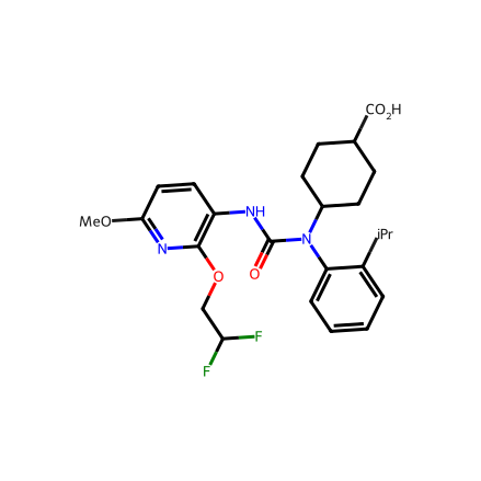 COc1ccc(NC(=O)N(c2ccccc2C(C)C)C2CCC(C(=O)O)CC2)c(OCC(F)F)n1